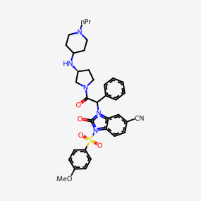 CCCN1CCC(N[C@H]2CCN(C(=O)C(c3ccccc3)n3c(=O)n(S(=O)(=O)c4ccc(OC)cc4)c4ccc(C#N)cc43)C2)CC1